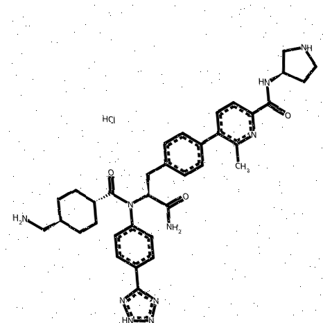 Cc1nc(C(=O)N[C@@H]2CCNC2)ccc1-c1ccc(C[C@@H](C(N)=O)N(c2ccc(-c3nn[nH]n3)cc2)C(=O)[C@H]2CC[C@H](CN)CC2)cc1.Cl